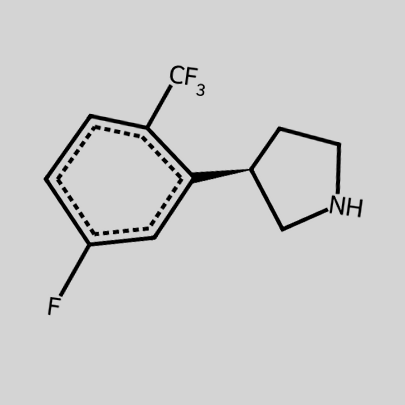 Fc1ccc(C(F)(F)F)c([C@H]2CCNC2)c1